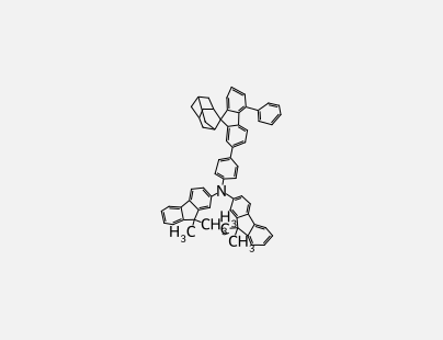 CC1(C)c2ccccc2-c2ccc(N(c3ccc(-c4ccc5c(c4)C4(c6cccc(-c7ccccc7)c6-5)C5CC6CC(C5)CC4C6)cc3)c3ccc4c(c3)C(C)(C)c3ccccc3-4)cc21